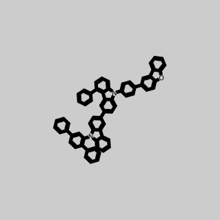 c1ccc(-c2ccc(-c3ccccc3)c(-n3c4ccccc4c4cc(-c5ccc6c(c5)c5c(-c7ccccc7)cccc5n6-c5ccc(-c6ccc7oc8ccccc8c7c6)cc5)ccc43)c2)cc1